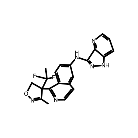 CC1=NOCC1(c1nccc2cc(Nc3n[nH]c4cccnc34)ccc12)C(C)(F)F